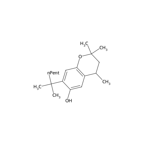 CCCCCC(C)(C)c1cc2c(cc1O)C(C)CC(C)(C)O2